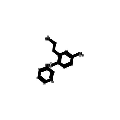 Cc1ccc(S(=O)(=O)O)c(CCO)c1.c1ccncc1